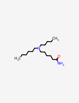 CCCCCCN(CCCCC)CCCCCC(N)=O